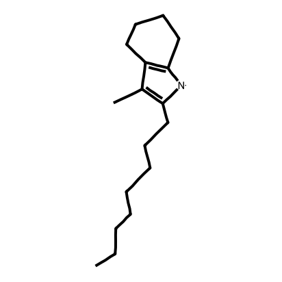 CCCCCCCCC1=C(C)C2=C(CCCC2)[N]1